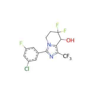 OC1c2c(C(F)(F)F)nc(-c3cc(F)cc(Cl)c3)n2CCC1(F)F